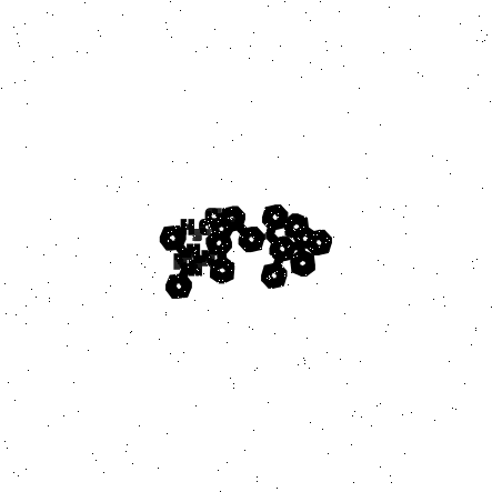 CC1(C)c2cc3c(cc2-c2c(-c4cccc([C@H](c5ccccc5)c5cc(-c6ccccc6)cc(C6(c7ccccc7)c7ccccc7-c7ccccc76)c5)c4)cccc21)c1ccccc1n3-c1nc(-c2ccccc2)nc(-c2ccccc2)n1